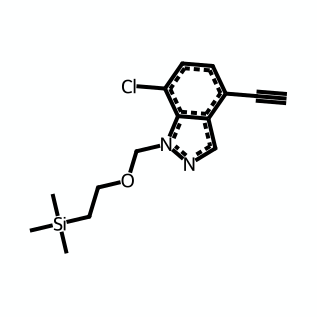 C#Cc1ccc(Cl)c2c1cnn2COCC[Si](C)(C)C